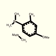 CNC.COc1cc[c]([Bi]([CH3])[CH3])c(C)c1